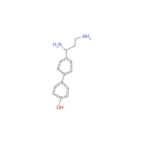 NCCC(N)c1ccc(-c2ccc(O)cc2)cc1